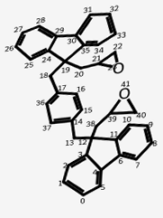 c1ccc2c(c1)-c1ccccc1C2(Cc1ccc(CC2(CC3CO3)c3ccccc3-c3ccccc32)cc1)CC1CO1